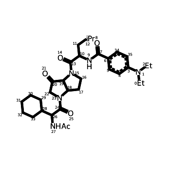 CCN(CC)c1ccc(C(=O)NC(CC(C)C)C(=O)N2CCC3C2C(=O)CN3C(=O)C(NC(C)=O)C2CCCCC2)cc1